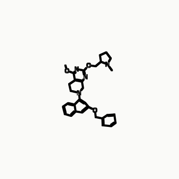 COc1nc(OCC2CCCN2C)nc2c1CCN(c1cc(OCc3ccccc3)cc3ccccc13)C2